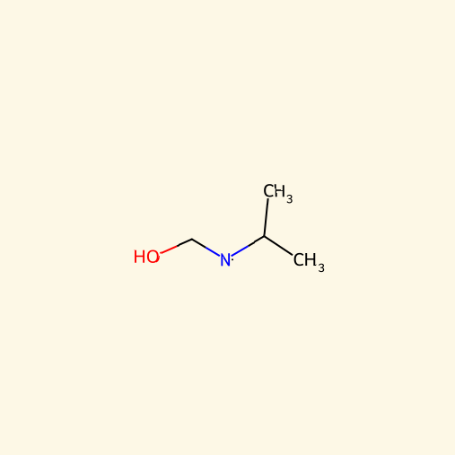 CC(C)[N]CO